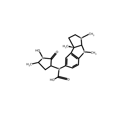 CC1CC(N(C(=O)O)c2ccc3c(c2)[C@]2(C)CCN(C)C2N3C)C(=O)N1O